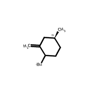 C=C1C[C@@H](C)CCC1[C](C)CC